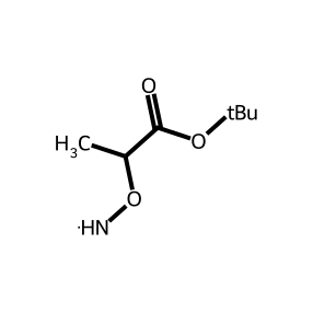 CC(O[NH])C(=O)OC(C)(C)C